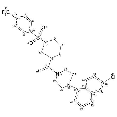 O=C(C1CCCN(S(=O)(=O)c2ccc(C(F)(F)F)cc2)C1)N1CCN(c2ccnc3cc(Cl)ccc23)CC1